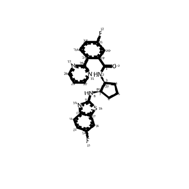 O=C(N[C@H]1CCC[C@H]1Nc1nc2ccc(F)cc2s1)c1cc(F)ccc1-c1ncccn1